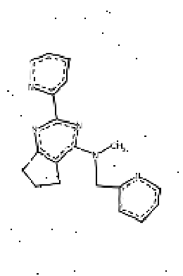 CN(Cc1ccccn1)c1nc(-c2ccccn2)nc2c1CCC2